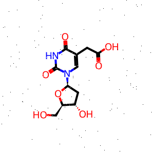 O=C(O)Cc1cn([C@H]2C[C@H](O)[C@@H](CO)O2)c(=O)[nH]c1=O